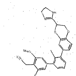 COc1cc(-c2cccc(-c3ccc4c(c3)OC(C3=NCCN3)CO4)c2C)cc(F)c1CN